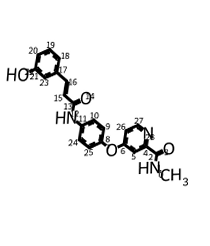 CNC(=O)c1cc(Oc2ccc(NC(=O)/C=C/c3cccc(O)c3)cc2)ccn1